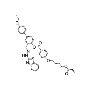 C=CC(=O)OCCCCOc1ccc(C(=O)Oc2ccc(-c3ccc(OCC)cc3)cc2/C=N/Nc2nc3ccccc3s2)cc1